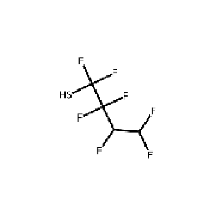 FC(F)C(F)C(F)(F)C(F)(F)S